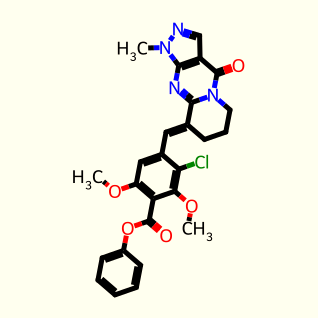 COc1cc(/C=C2\CCCn3c2nc2c(cnn2C)c3=O)c(Cl)c(OC)c1C(=O)Oc1ccccc1